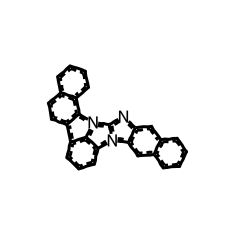 c1ccc2cc3c(cc2c1)nc1n3c2cccc3c4ccc5ccccc5c4n1c32